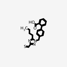 CCCCc1nc(C=S)nn1Cc1ccc(-c2ccccc2C(=O)O)cc1